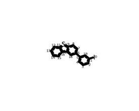 Ic1cccc(-c2ccc3sc4ccccc4c3c2)c1